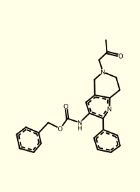 CC(=O)CN1CCc2nc(-c3ccccc3)c(NC(=O)OCc3ccccc3)cc2C1